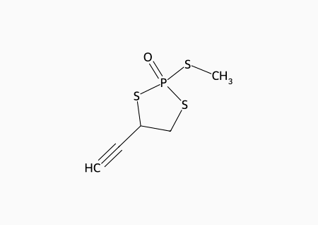 C#CC1CSP(=O)(SC)S1